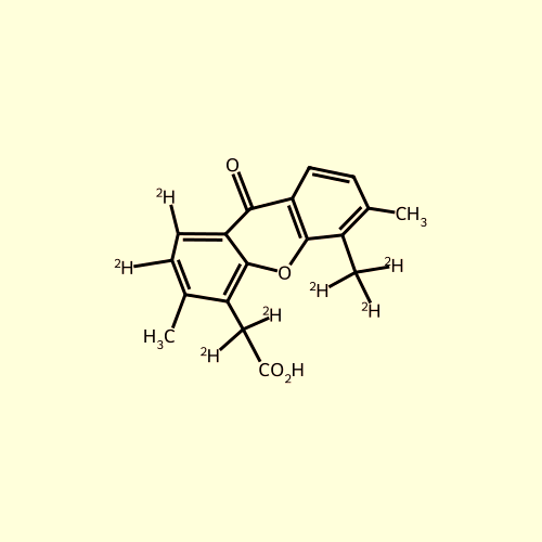 [2H]c1c(C)c(C([2H])([2H])C(=O)O)c2oc3c(C([2H])([2H])[2H])c(C)ccc3c(=O)c2c1[2H]